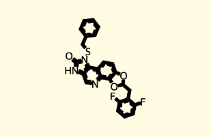 O=c1[nH]c2cnc3c4c(ccc3c2n1SCc1ccccc1)OC(Cc1c(F)cccc1F)O4